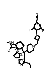 CCc1nccn1CC(c1cccc(F)c1)(C1CCN(CC2CN(c3c(F)cc(C#N)cc3F)C2)CC1)[C@H]1CCC[C@@H]1OC(=O)NC